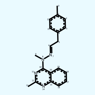 Cc1ccc(CC=NN(C)c2nc(C)nc3ccccc23)cc1